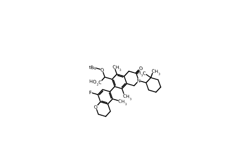 Cc1c(-c2c(C)c3c(c(C)c2C(OC(C)(C)C)C(=O)O)CC(=O)N(C2CCCCC2(C)C)C3)cc(F)c2c1CCCO2